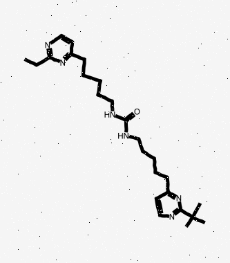 CCc1nccc(CCCCCNC(=O)NCCCCCc2ccnc(C(C)(C)C)n2)n1